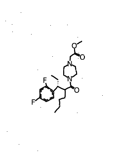 CCCCC(C(=O)N1CCN(CC(=O)OC)CC1)[C@@H](CC)c1ccc(F)cc1F